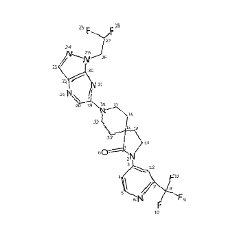 O=C1N(c2ccnc(C(F)(F)F)c2)CCC12CCN(c1cnc3cnn(CC(F)F)c3n1)CC2